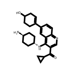 N[C@H]1CC[C@H](Nc2c(C(=O)C3CC3)cnc3ccc(C4=CCC(O)CC4)cc23)CC1